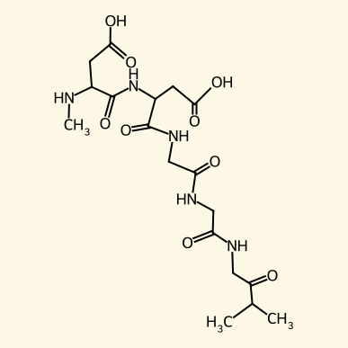 CNC(CC(=O)O)C(=O)NC(CC(=O)O)C(=O)NCC(=O)NCC(=O)NCC(=O)C(C)C